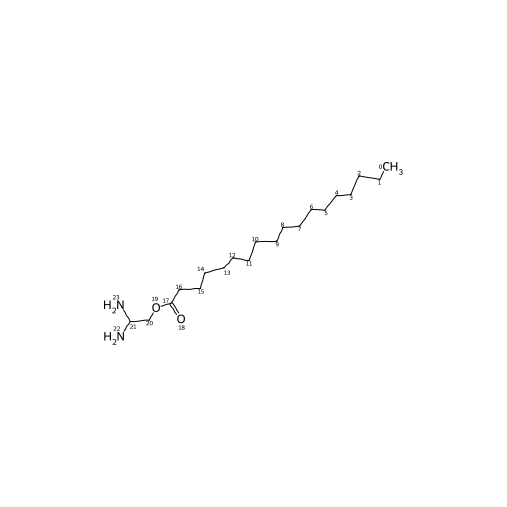 CCCCCCCCCCCCCCCCCC(=O)OCC(N)N